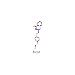 CCOC(=O)CCCOc1ccc(OCc2nc3ccccc3c(=O)[nH]2)cc1